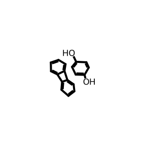 Oc1ccc(O)cc1.c1ccc2c(c1)-c1ccccc1-2